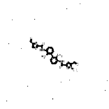 Cc1c(NC(=O)c2cc(C=O)n(C)n2)cccc1-c1cccc(NC(=O)c2ncc(C=O)s2)c1C